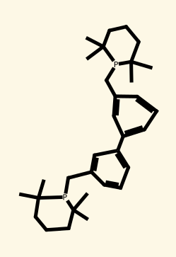 CC1(C)CCCC(C)(C)P1Cc1cccc(-c2cccc(CP3C(C)(C)CCCC3(C)C)c2)c1